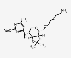 COc1nc(C)cc(N[C@@H]2CO[C@H](COCCOCCN)[C@@H]3OC(C)(C)O[C@@H]32)n1